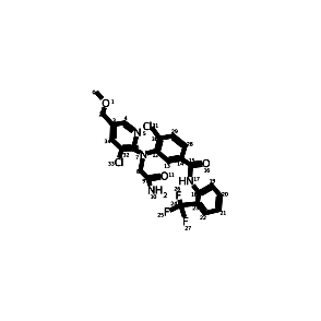 COCc1cnc(N(CC(N)=O)c2cc(C(=O)Nc3ccccc3C(F)(F)F)ccc2Cl)c(Cl)c1